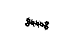 Cc1cc(-c2cc(C)c(-n3c4ccccc4c4ccccc43)cc2C)c(C)cc1-c1cc(C)c(-n2c3ccccc3c3ccccc32)cc1C